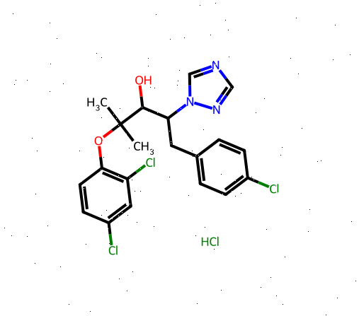 CC(C)(Oc1ccc(Cl)cc1Cl)C(O)C(Cc1ccc(Cl)cc1)n1cncn1.Cl